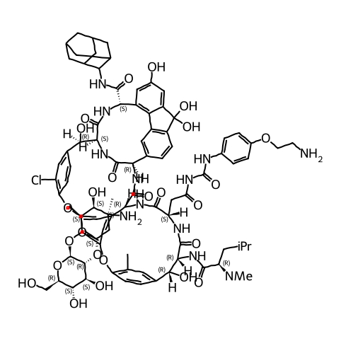 CN[C@H](CC(C)C)C(=O)N[C@H]1C(=O)N[C@@H](CC(=O)NC(=O)Nc2ccc(OCCN)cc2)C(=O)N[C@H]2C(=O)N[C@H]3C(=O)N[C@H](C(=O)N[C@H](C(=O)NC4C5CC6CC(C5)CC4C6)c4cc(O)cc5c4-c4cc3ccc4C5(O)O)[C@H](O)c3ccc(c(Cl)c3)Oc3cc2cc(c3O[C@@H]2O[C@H](CO)[C@@H](O)[C@H](O)[C@H]2O[C@H]2C[C@](C)(N)[C@H](O)[C@H](C)O2)Oc2ccc(cc2C)[C@H]1O